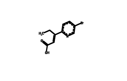 CCC(=CC(=O)O)c1ccc(Br)cn1